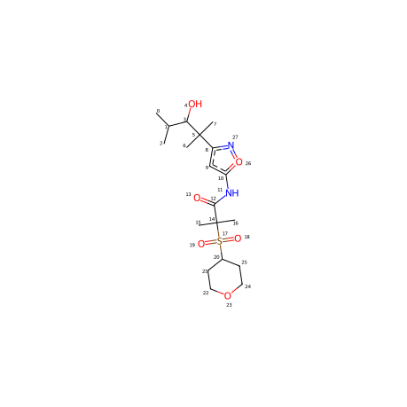 CC(C)C(O)C(C)(C)c1cc(NC(=O)C(C)(C)S(=O)(=O)C2CCOCC2)on1